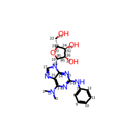 CN(C)c1nc(Nc2ccccc2)nc2c1ncn2[C@@H]1O[C@H](CO)[C@@H](O)[C@H]1O